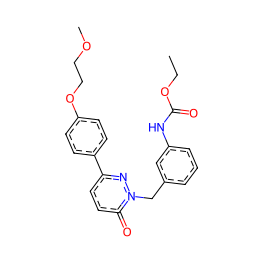 CCOC(=O)Nc1cccc(Cn2nc(-c3ccc(OCCOC)cc3)ccc2=O)c1